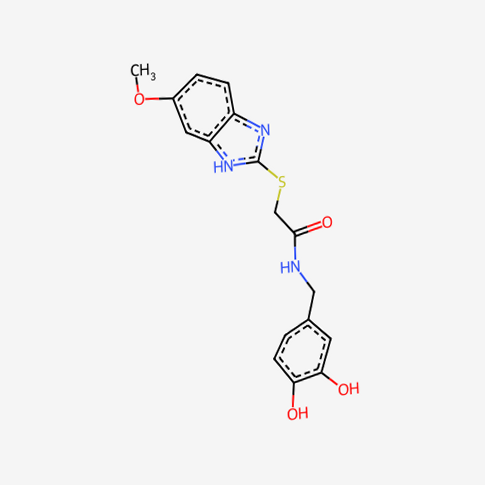 COc1ccc2nc(SCC(=O)NCc3ccc(O)c(O)c3)[nH]c2c1